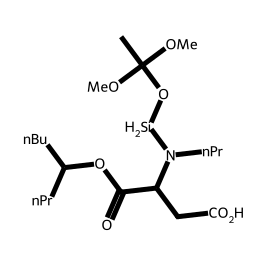 CCCCC(CCC)OC(=O)C(CC(=O)O)N(CCC)[SiH2]OC(C)(OC)OC